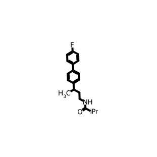 CC(C)C(=O)NCCC(C)c1ccc(-c2ccc(F)cc2)cc1